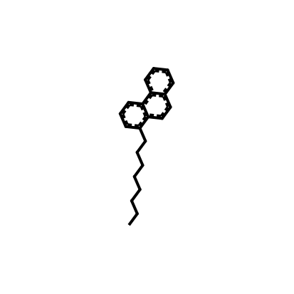 CCCCCCCCc1cccc2c1ccc1ccccc12